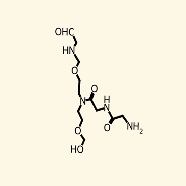 NCC(=O)NCC(=O)N(CCOCO)CCOCNCC=O